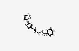 C(#Cc1ccc(-c2cccs2)s1)CCOc1ccccc1